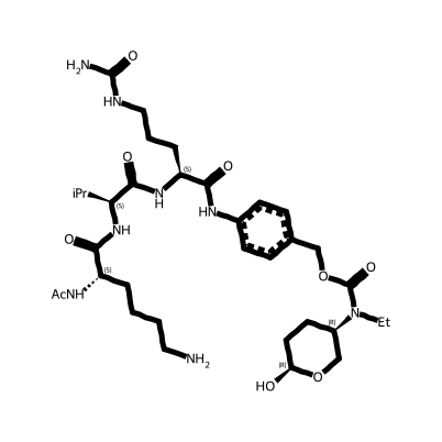 CCN(C(=O)OCc1ccc(NC(=O)[C@H](CCCNC(N)=O)NC(=O)[C@@H](NC(=O)[C@H](CCCCN)NC(C)=O)C(C)C)cc1)[C@@H]1CC[C@H](O)OC1